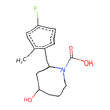 Cc1cc(F)ccc1C1CC(O)CCN1C(=O)O